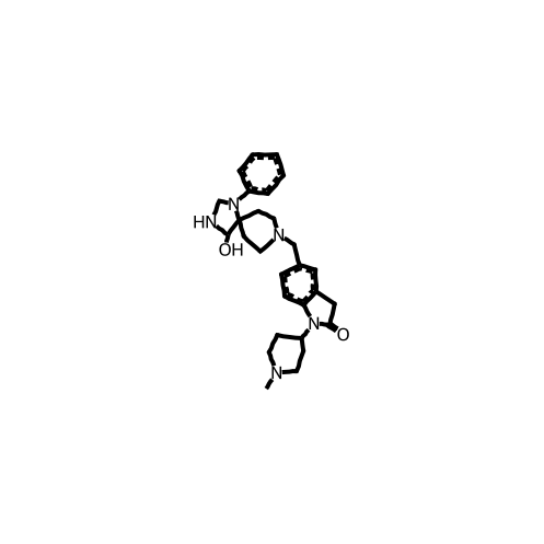 CN1CCC(N2C(=O)Cc3cc(CN4CCC5(CC4)C(O)NCN5c4ccccc4)ccc32)CC1